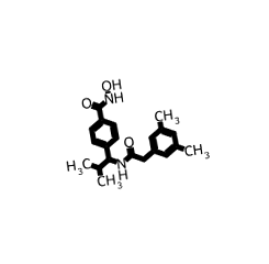 Cc1cc(C)cc(CC(=O)NC(c2ccc(C(=O)NO)cc2)C(C)C)c1